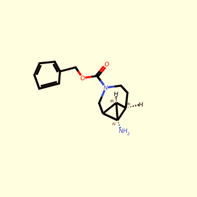 N[C@@]12C3CN(C(=O)OCc4ccccc4)CC[C@@H]1[C@H]32